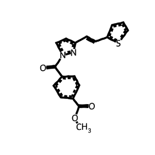 COC(=O)c1ccc(C(=O)n2ccc(C=Cc3cccs3)n2)cc1